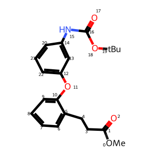 COC(=O)CCc1ccccc1Oc1[c]c(NC(=O)OC(C)(C)C)ccc1